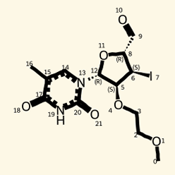 COCCO[C@@H]1[C@H](I)[C@@H](C=O)O[C@H]1n1cc(C)c(=O)[nH]c1=O